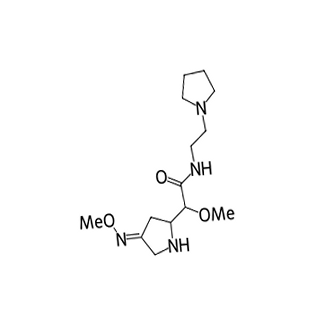 CON=C1CNC(C(OC)C(=O)NCCN2CCCC2)C1